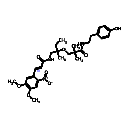 CCC(C)(CNC(=O)/C=C/c1cc(OC)c(OC)cc1[N+](=O)[O-])OCC(C)(C)C(=O)NCCc1ccc(O)cc1